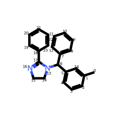 Cc1cccc(C(c2ccccc2)N2CCN=C2c2ccccc2)c1